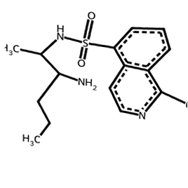 CCCC(N)C(C)NS(=O)(=O)c1cccc2c(Cl)nccc12